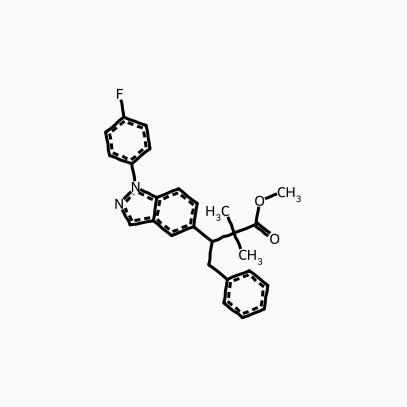 COC(=O)C(C)(C)C(Cc1ccccc1)c1ccc2c(cnn2-c2ccc(F)cc2)c1